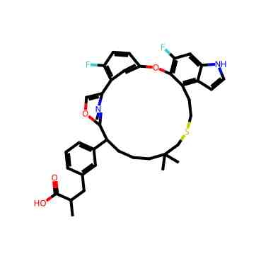 CC(Cc1cccc(C2CCCC(C)(C)CSCCc3c(c(F)cc4[nH]ccc34)Oc3ccc(F)c(c3)-c3coc2n3)c1)C(=O)O